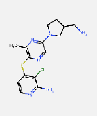 Cc1nc(N2CC[C@@H](CN)C2)cnc1Sc1ccnc(N)c1Cl